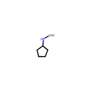 O=[C]NC1CCCC1